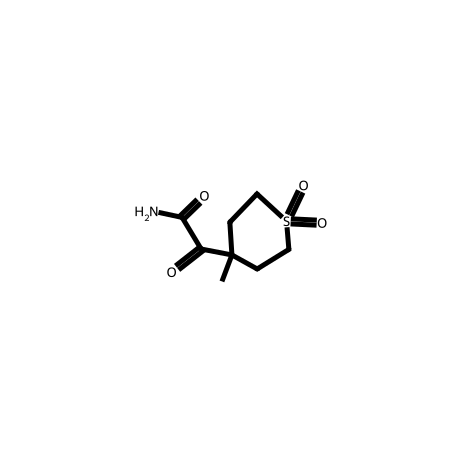 CC1(C(=O)C(N)=O)CCS(=O)(=O)CC1